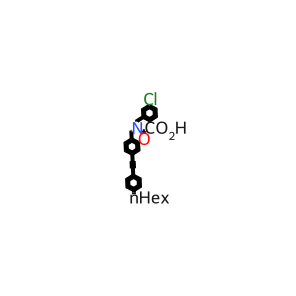 CCCCCCc1ccc(C#Cc2ccc(CN(Cc3cccc(Cl)c3)C(=O)C(=O)O)cc2)cc1